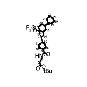 CC(C)(C)OC(=O)CCNC(=O)c1ccc(CCC2=CC(c3ccccc3)C=CC2(C)OC(F)(F)F)cc1